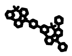 CC1(C)c2cccc(c2)-c2cccc3c2c2c1cccc2n3-c1ccc(-c2cc3cc(c2)C(C)(C)c2c(-c4ccccc4)ccc4c2c2c-3cccc2n4-c2ccccc2)cc1